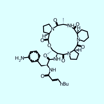 CCCC/C=C/C(=O)N[C@@H](Cc1cccc(N)c1)C(=O)N[C@@H]1C(=O)N2CCC[C@H]2C(=O)N2CCCC[C@H]2C(=O)N[C@@H](C)C(=O)N2CCC[C@H]2C(=O)O[C@H]1C